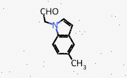 Cc1ccc2c(ccn2CC=O)c1